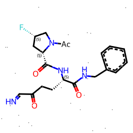 CC(=O)N1C[C@@H](F)C[C@H]1C(=O)N[C@@H](CCC(=O)C=N)C(=O)NCc1ccccc1